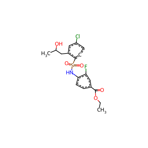 CCOC(=O)c1ccc(NS(=O)(=O)c2ccc(Cl)cc2CC(C)O)c(F)c1